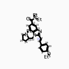 CCOc1ccc(/C=C/c2nc3cc(C(=O)N(CC)CC)ccc3n2CC2CCCN2CC)cc1